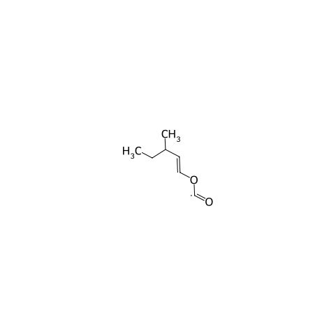 CCC(C)/C=C/O[C]=O